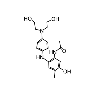 CC(=O)Nc1cc(O)c(C)cc1Nc1ccc(N(CCO)CCO)cc1